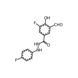 O=Cc1cc(C(=O)NNc2ccc(F)cc2)cc(F)c1O